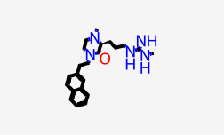 CNC(=N)NCCC[C@H]1C(=O)N(CCc2ccc3ccccc3c2)CCN1C